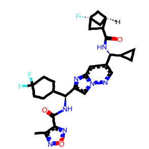 Cc1nonc1C(=O)N[C@H](c1cn2ncc([C@H](NC(=O)C3C[C@]4(F)C[C@H]3C4)C3CC3)cc2n1)C1CCC(F)(F)CC1